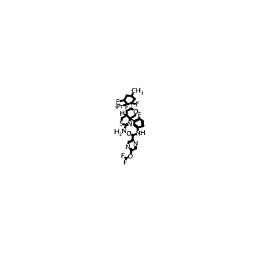 CC1CC(F)C(F)(C(C)C)C(F)([C@H]2C[C@H]3CSC(N)=N[C@@]3(c3cc(NC(=O)c4cnc(OC(F)F)cn4)ccc3F)CO2)C1